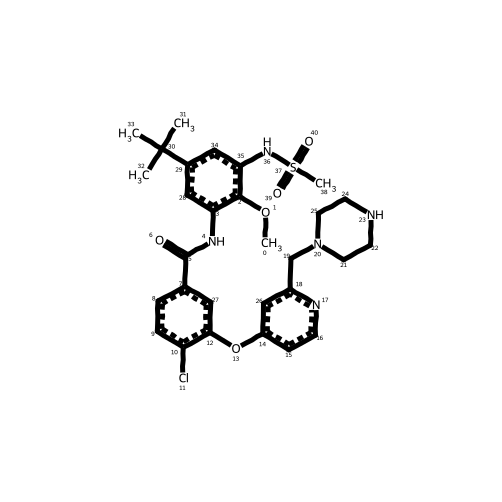 COc1c(NC(=O)c2ccc(Cl)c(Oc3ccnc(CN4CCNCC4)c3)c2)cc(C(C)(C)C)cc1NS(C)(=O)=O